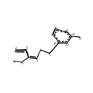 C=C/C(=C\CCc1cccc(C)c1)CC